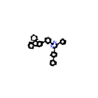 c1ccc(-c2ccc(-c3cc(-c4ccccc4)nc(-c4cccc(-c5ccc6c(c5)C5(CCCCC5)c5ccccc5-6)c4)n3)cc2)cc1